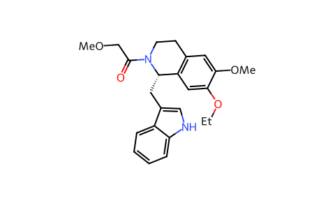 CCOc1cc2c(cc1OC)CCN(C(=O)COC)[C@H]2Cc1c[nH]c2ccccc12